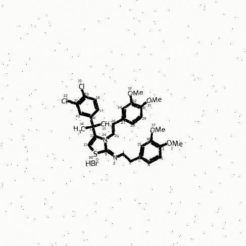 Br.COc1ccc(CCN=c2scc(C(C)(C)c3ccc(Cl)c(Cl)c3)n2CCc2ccc(OC)c(OC)c2)cc1OC